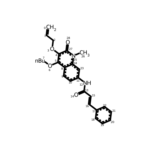 C=CCOc1c(OCCCC)c2ccc(NC(=O)/C=C/c3ccccc3)cc2n(C)c1=O